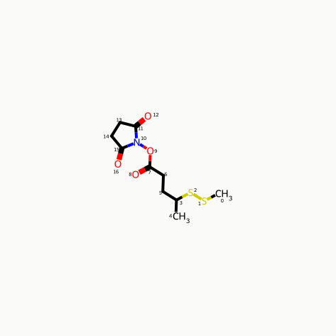 CSSC(C)CCC(=O)ON1C(=O)CCC1=O